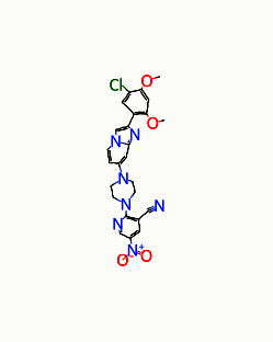 COc1cc(OC)c(-c2cn3ccc(N4CCN(c5ncc([N+](=O)[O-])cc5C#N)CC4)cc3n2)cc1Cl